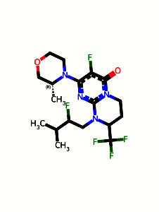 CC(C)C(F)CN1c2nc(N3CCOC[C@H]3C)c(F)c(=O)n2CCC1C(F)(F)F